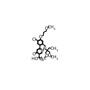 CCC(COC)(COC)N1Cc2cc(OCCCOC)c(Cl)cc2-c2cc(=O)c(C(=O)O)cn21